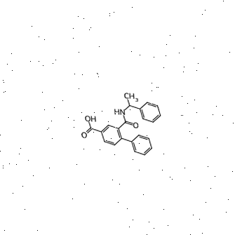 CC(NC(=O)c1cc(C(=O)O)ccc1-c1ccccc1)c1ccccc1